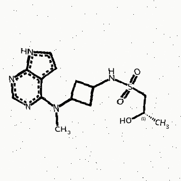 C[C@H](O)CS(=O)(=O)NC1CC(N(C)c2ncnc3[nH]ccc23)C1